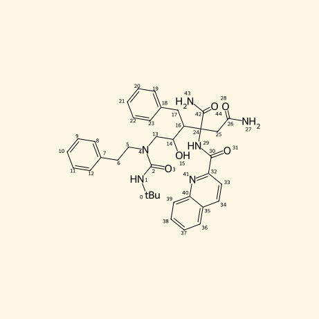 CC(C)(C)NC(=O)N(CCc1ccccc1)CC(O)C(Cc1ccccc1)C(CC(N)=O)(NC(=O)c1ccc2ccccc2n1)C(N)=O